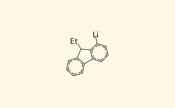 [Li][c]1cccc2c1C(CC)c1ccccc1-2